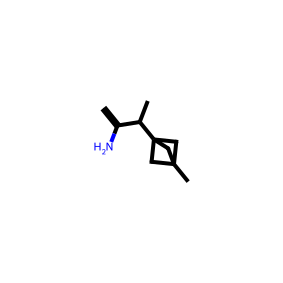 C=C(N)C(C)C12CC(C)(C1)C2